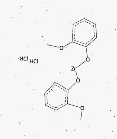 COc1ccccc1[O][Zr][O]c1ccccc1OC.Cl.Cl